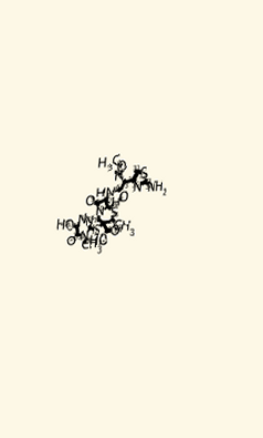 CON=C(C(=O)NC1C(=O)N2CC(Sc3nnc(O)c(=O)n3C)(C(=O)O)C(C)S[C@H]12)c1csc(N)n1